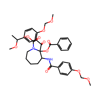 COCOc1ccc(C(=O)NC2CCCCN(C(=O)O)C2(OC(=O)c2ccccc2)C(=O)c2cc(C(C)OC)ccc2OCOC)cc1